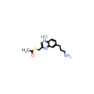 CC(=O)SCc1cnc2ccc(CCCN)cc2n1.Cl